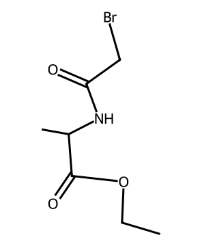 CCOC(=O)C(C)NC(=O)CBr